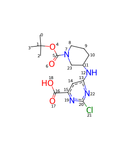 CC(C)(C)OC(=O)N1CCCC(Nc2cc(C(=O)O)nc(Cl)n2)C1